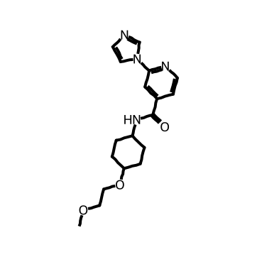 COCCOC1CCC(NC(=O)c2ccnc(-n3ccnc3)c2)CC1